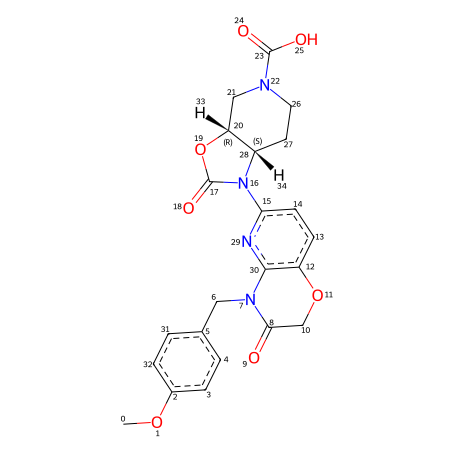 COc1ccc(CN2C(=O)COc3ccc(N4C(=O)O[C@@H]5CN(C(=O)O)CC[C@@H]54)nc32)cc1